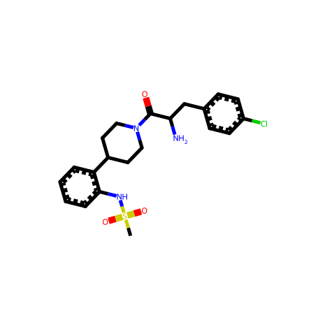 CS(=O)(=O)Nc1ccccc1C1CCN(C(=O)C(N)Cc2ccc(Cl)cc2)CC1